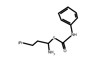 CC(C)CCC(N)SC(=O)Nc1ccccc1